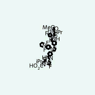 COC(=O)N[C@H](C(=O)N1C[C@@H](F)C[C@H]1c1nc2cc([C@H]3CC[C@H](c4ccc5[nH]c([C@@H]6C[C@H](F)CN6C(=O)[C@H](C(C)C)N(C)C(=O)O)nc5c4)N3c3cc(F)c(N4CCCCC4)c(F)c3)ccc2[nH]1)C(C)C